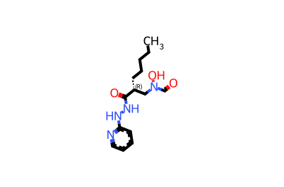 CCCCC[C@H](CN(O)C=O)C(=O)NNc1ccccn1